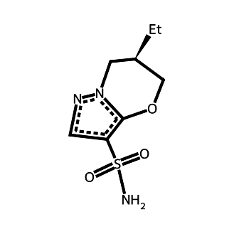 CC[C@H]1COc2c(S(N)(=O)=O)cnn2C1